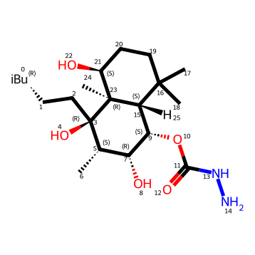 CC[C@@H](C)CC[C@@]1(O)[C@@H](C)[C@@H](O)[C@@H](OC(=O)NN)[C@H]2C(C)(C)CC[C@H](O)[C@@]21C